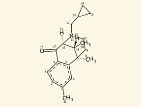 Cc1ccc2c(c1)[C@]1(C)CCN(CC3CC3)[C@H](C2=O)[C@@H]1C